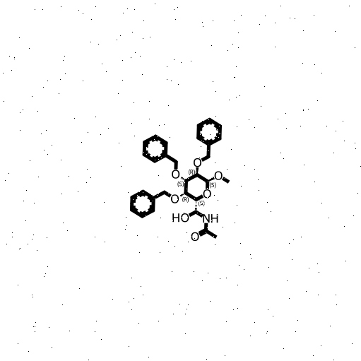 CO[C@H]1O[C@H](C(O)NC(C)=O)[C@H](OCc2ccccc2)[C@H](OCc2ccccc2)[C@H]1OCc1ccccc1